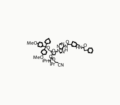 COc1ccc(C(OC[C@H]2OC(n3cnc4c(NC(=O)c5ccc(CNC(=O)Cc6ccccc6)cc5)ncnc43)C[C@H]2OP(OCCC#N)N(C(C)C)C(C)C)(c2ccccc2)c2ccc(OC)cc2)cc1